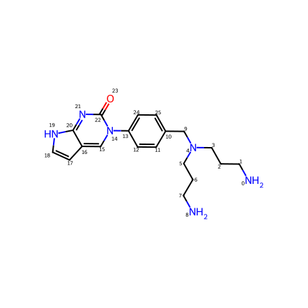 NCCCN(CCCN)Cc1ccc(-n2cc3cc[nH]c3nc2=O)cc1